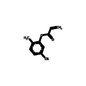 C=CC(=O)Oc1cc(C#N)ccc1C